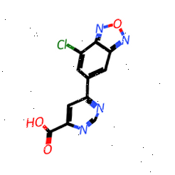 O=C(O)c1cc(-c2cc(Cl)c3nonc3c2)ncn1